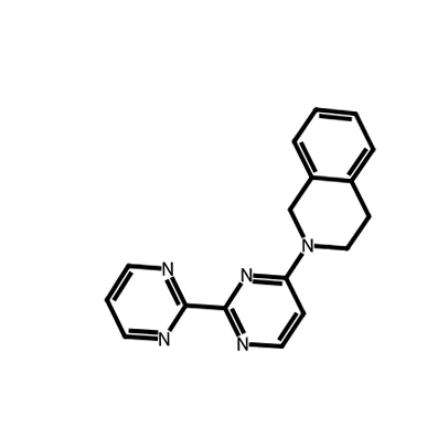 c1cnc(-c2nccc(N3CCc4ccccc4C3)n2)nc1